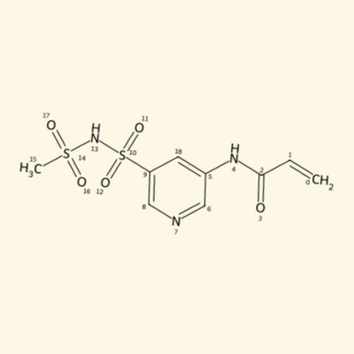 C=CC(=O)Nc1cncc(S(=O)(=O)NS(C)(=O)=O)c1